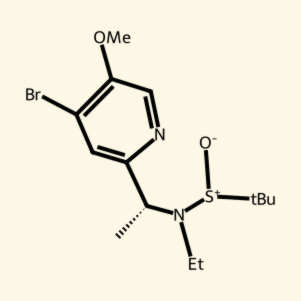 CCN([C@H](C)c1cc(Br)c(OC)cn1)[S+]([O-])C(C)(C)C